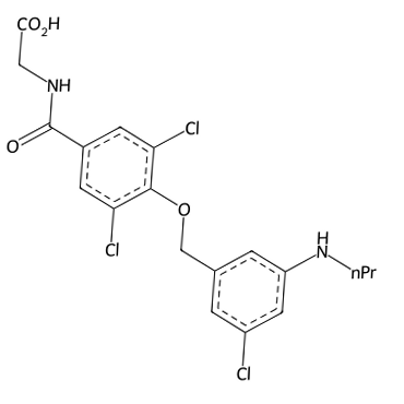 CCCNc1cc(Cl)cc(COc2c(Cl)cc(C(=O)NCC(=O)O)cc2Cl)c1